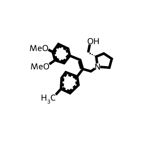 COc1ccc(/C=C(/CN2CCC[C@H]2CO)c2ccc(C)cc2)cc1OC